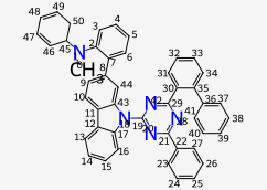 CN(c1ccccc1-c1ccc2c3ccccc3n(-c3nc(-c4ccccc4)nc(-c4ccccc4-c4ccccc4)n3)c2c1)C1C=CC=CC1